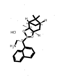 CC1(C)[C@@H]2C[C@H]3OB([C@@H](CN)c4cccc5ccccc45)O[C@@]3(C)[C@H]1C2.Cl